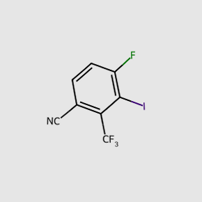 N#Cc1ccc(F)c(I)c1C(F)(F)F